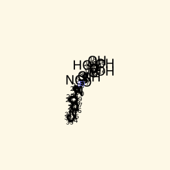 Cn1c(/C=C(\C#N)S(=O)(=O)NC[C@H]2OC(O)[C@H](O)[C@@H](O)[C@@H]2O)ccc1-c1ccc2cc(N3CCCCC3)ccc2c1